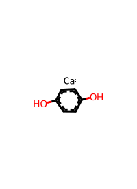 Oc1ccc(O)cc1.[Ca]